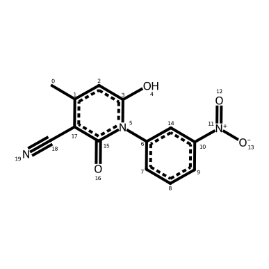 Cc1cc(O)n(-c2cccc([N+](=O)[O-])c2)c(=O)c1C#N